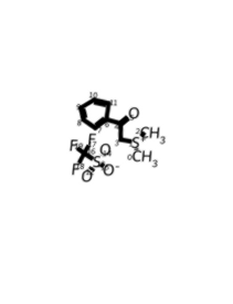 C[S+](C)CC(=O)c1ccccc1.O=S(=O)([O-])C(F)(F)F